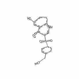 O=c1c(S(=O)(=O)c2ccc(CO)cc2)c[nH]c2ccc(O)cc12